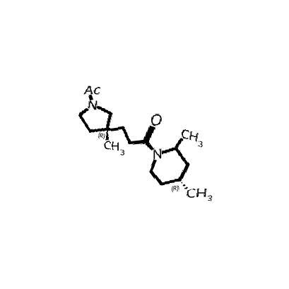 CC(=O)N1CC[C@@](C)(CCC(=O)N2CC[C@@H](C)CC2C)C1